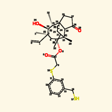 C=C[C@]1(C)C[C@@H](OC(=O)CSc2cccc(CS)c2)[C@]2(C)C(C)CCC3(CCC(=O)C32)[C@@H](C)[C@@H]1O